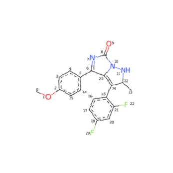 COc1ccc(C2=NC(=O)N3NC(C)C(c4ccc(F)cc4F)=C23)cc1